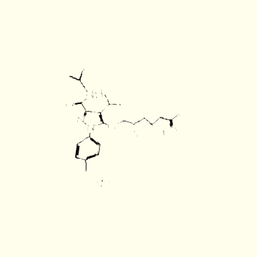 CC(C)NC(=O)c1nn(-c2ccc(F)cc2)c(OC[C@@H](O)C[C@@H](O)CC(=O)[O-])c1C(C)C.[Na+]